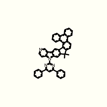 CC1(C)c2cc3c(cc2-c2c1ccc1c4ccccc4c4ccccc4c21)c1cnccc1n3-c1nc(-c2ccccc2)cc(-c2ccccc2)n1